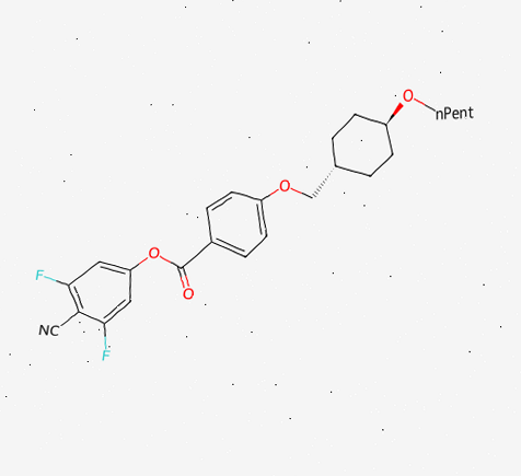 CCCCCO[C@H]1CC[C@H](COc2ccc(C(=O)Oc3cc(F)c(C#N)c(F)c3)cc2)CC1